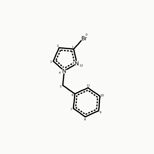 Brc1ccn(Cc2ccccc2)n1